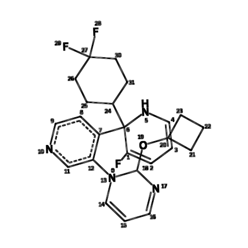 FC1=CC=CNC1(c1ccncc1N1C=CC=NC1OC1CCC1)C1CCC(F)(F)CC1